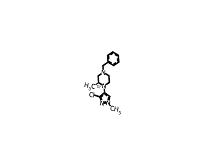 C[C@H]1CN(Cc2ccccc2)CCN1c1cn(C)nc1Cl